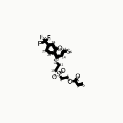 C=CC(=O)OCCS(=O)(=O)CCSc1cc(=S)oc2cc(C(F)(F)F)ccc12